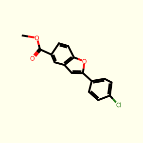 COC(=O)c1ccc2oc(-c3ccc(Cl)cc3)cc2c1